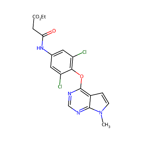 CCOC(=O)CC(=O)Nc1cc(Cl)c(Oc2ncnc3c2ccn3C)c(Cl)c1